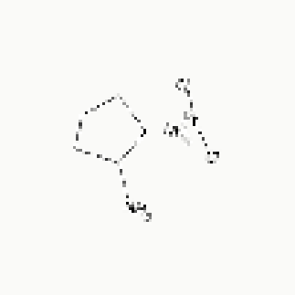 N.NC1CCCC1.[Cl][Pt][Cl]